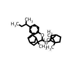 CCC(C)c1ccc(OC(OC2CC3CCC2(C)C3(C)C)C2(C)CC3C=CC2C3)cc1